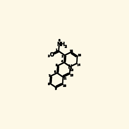 NC(=O)C1=C2C=c3ccccc3=CN2CC=C1